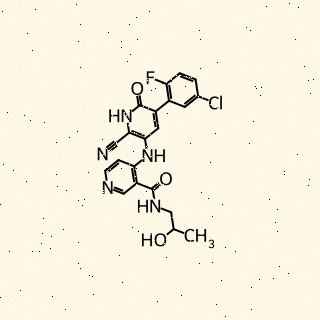 CC(O)CNC(=O)c1cnccc1Nc1cc(-c2cc(Cl)ccc2F)c(=O)[nH]c1C#N